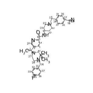 C=C(c1ccc(C(=O)NC2CCN(Cc3ccc(C#N)cc3)CC2)nc1)N1CCN(Cc2ccc(F)cc2)C(C)(C)C1